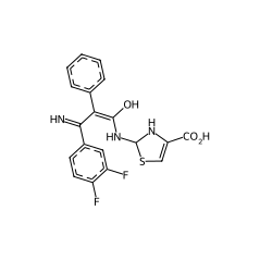 N=C(/C(=C(/O)NC1NC(C(=O)O)=CS1)c1ccccc1)c1ccc(F)c(F)c1